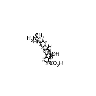 C[C@H](N)CN[C@H]1CC[C@H](CC(=O)N[C@H]2Cc3cccc(C(=O)O)c3OB2O)CC1